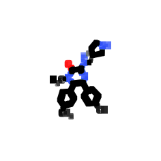 Cc1ccc(-c2c(-c3ccc(C#N)cc3)nc(NC[C@@H]3CCNC3)c(=O)n2C)cc1